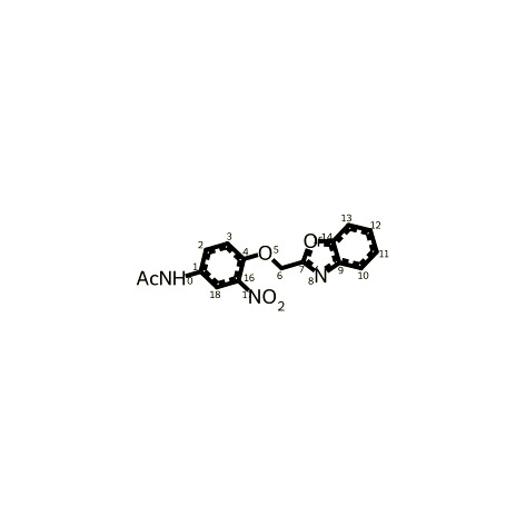 CC(=O)Nc1ccc(OCc2nc3ccccc3o2)c([N+](=O)[O-])c1